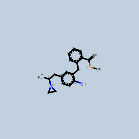 C=C(PC)c1ccccc1Cc1cc(CC(C)N2CC2)ccc1N